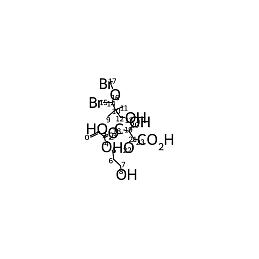 C=CC(=O)OCCCO.CC(C)(CO)C(Br)OBr.O=C(O)C(O)C(O)C(=O)O